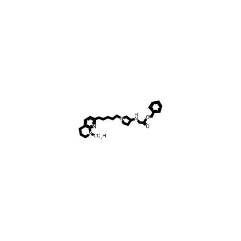 O=C(CNC1CCN(CCCCCc2ccc3c(n2)N(C(=O)O)CCC3)C1)OCc1ccccc1